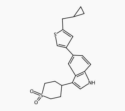 O=S1(=O)CCC(c2c[nH]c3ccc(-c4csc(CC5CC5)c4)cc23)CC1